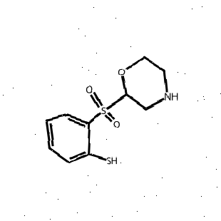 O=S(=O)(c1ccccc1S)C1CNCCO1